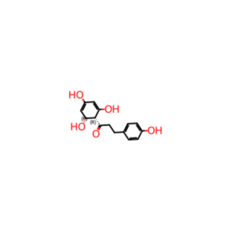 O=C(CCc1ccc(O)cc1)[C@H]1C(O)=CC(O)=C[C@H]1O